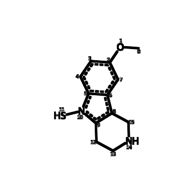 COc1ccc2c(c1)c1c(n2S)CCNC1